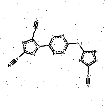 N#[N+]c1n[nH]c(Nc2nnc(-n3nc([N+]#N)nc3[N+]#N)nn2)n1